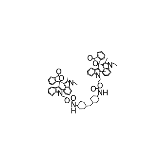 CCn1c(C)c(C2(c3c(C)n(CCOC(=O)NC4CCC(CC5CCC(NC(=O)OCCn6c(C)c(C7(c8c(C)n(CC)c9ccccc89)OC(=O)c8ccccc87)c7ccccc76)CC5)CC4)c4ccccc34)OC(=O)c3ccccc32)c2ccccc21